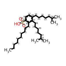 CCCCCCCCCCc1c(S(=O)(=O)O)ccc(CCCCCC(C)C)c1CCCCCC(C)C